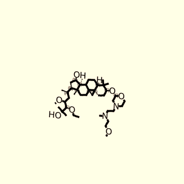 CCO[C@@H](C(C[C@@H](C)[C@H]1C[C@H](O)[C@@]2(C)C3CC[C@H]4C(C)(C)[C@@H](O[C@H]5CN(CCN(C)CCOC)CCO5)CC[C@@]45C[C@@]35CC[C@]12C)OC)C(C)(C)O